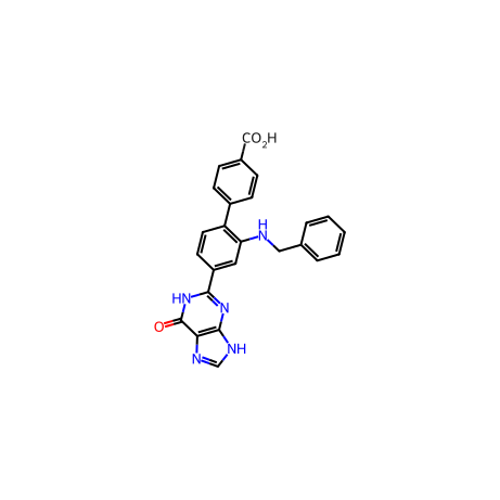 O=C(O)c1ccc(-c2ccc(-c3nc4[nH]cnc4c(=O)[nH]3)cc2NCc2ccccc2)cc1